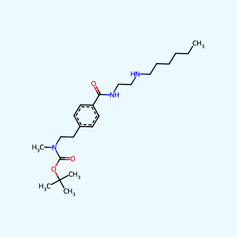 CCCCCCNCCNC(=O)c1ccc(CCN(C)C(=O)OC(C)(C)C)cc1